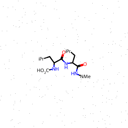 CNNC(=O)C(CC(C)C)NC(=O)C(CC(C)C)NC(=O)O